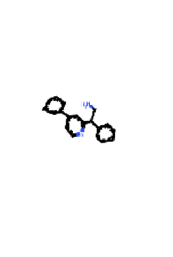 NCC(c1ccccc1)c1cc(-c2ccccc2)ccn1